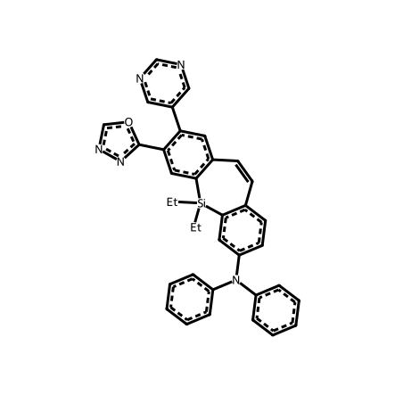 CC[Si]1(CC)c2cc(N(c3ccccc3)c3ccccc3)ccc2C=Cc2cc(-c3cncnc3)c(-c3nnco3)cc21